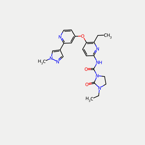 CCc1nc(NC(=O)N2CCN(CC)C2=O)ccc1Oc1ccnc(-c2cnn(C)c2)c1